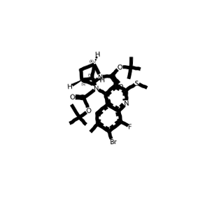 CSc1nc2c(F)c(Br)c(C)cc2c(N(C(=O)OC(C)(C)C)[C@H]2[C@H]3C[C@H]2N(C(=O)OC(C)(C)C)C3)c1I